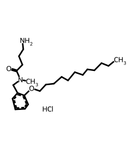 CCCCCCCCCCCCOc1ccccc1CN(C)C(=O)CCCN.Cl